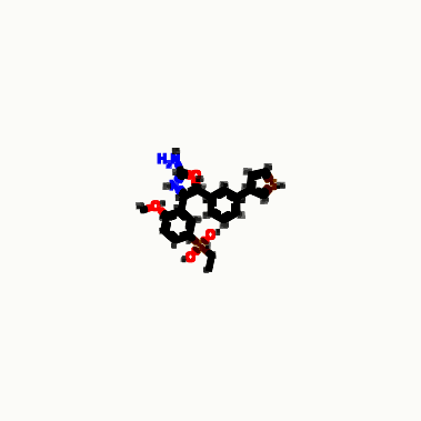 CCS(=O)(=O)c1ccc(OC)c(-c2nc(N)oc2-c2cccc(-c3ccsc3)c2)c1